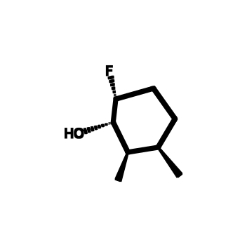 C[C@H]1[C@H](O)[C@H](F)CC[C@H]1C